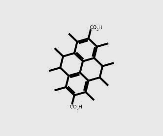 Cc1c(C(=O)O)c(C)c2c3c1C(C)C(C)c1c(C)c(C(=O)O)c(C)c(c1-3)C(C)C2C